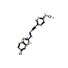 [11CH3]Nc1ccc(C#C/C=C/c2nc3ccc(O)cc3s2)cn1